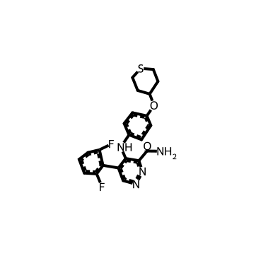 NC(=O)c1nncc(-c2c(F)cccc2F)c1Nc1ccc(OC2CCSCC2)cc1